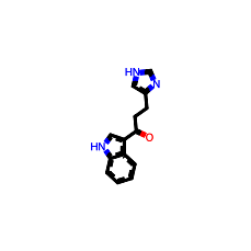 O=C(CCc1c[nH]cn1)c1c[nH]c2ccccc12